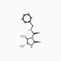 CC1[C@@H](C)NC(=O)N1C(=O)OCc1ccccc1